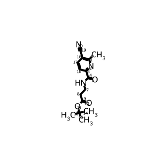 Cc1nc(C(=O)NCCC(=O)OC(C)(C)C)ccc1C#N